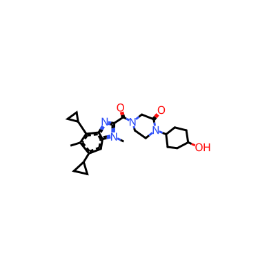 Cc1c(C2CC2)cc2c(nc(C(=O)N3CCN(C4CCC(O)CC4)C(=O)C3)n2C)c1C1CC1